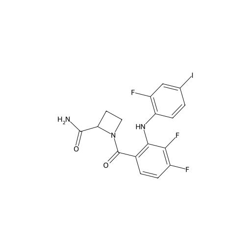 NC(=O)C1CCN1C(=O)c1ccc(F)c(F)c1Nc1ccc(I)cc1F